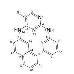 Cc1cnc(Nc2ccccc2)nc1Nc1ccc2ccccc2c1